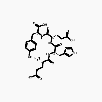 N[C@@H](CCC(=O)O)C(=O)N[C@@H](Cc1c[nH]cn1)C(=O)N[C@@H](CCC(=O)O)C(=O)N[C@@H](Cc1ccc(O)cc1)C(=O)O